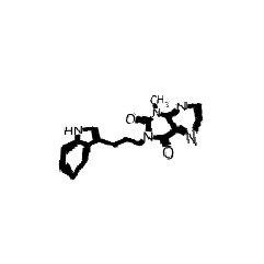 Cn1c(=O)n(CCCc2c[nH]c3ccccc23)c(=O)c2nccnc21